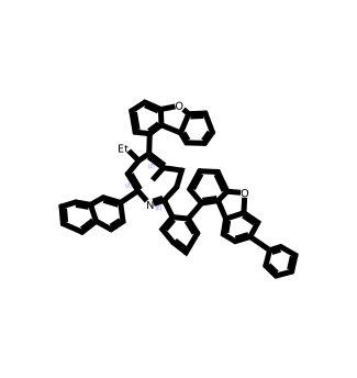 CCC1/C=C(c2ccc3ccccc3c2)\N=C(\c2ccccc2-c2cccc3oc4cc(-c5ccccc5)ccc4c23)CC/C(C)=C/1c1cccc2oc3ccccc3c12